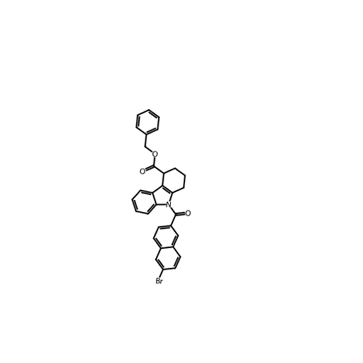 O=C(OCc1ccccc1)C1CCCc2c1c1ccccc1n2C(=O)c1ccc2cc(Br)ccc2c1